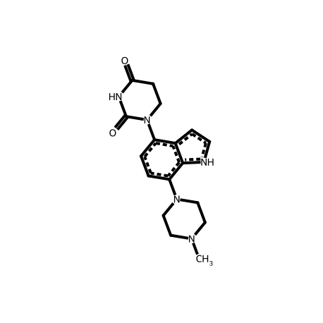 CN1CCN(c2ccc(N3CCC(=O)NC3=O)c3cc[nH]c23)CC1